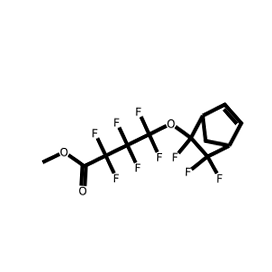 COC(=O)C(F)(F)C(F)(F)C(F)(F)OC1(F)C2C=CC(C2)C1(F)F